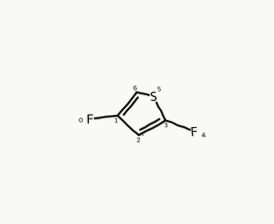 Fc1[c]c(F)sc1